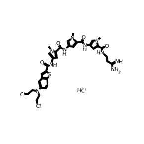 Cl.Cn1cc(NC(=O)c2cc(NC(=O)c3cc(NC(=O)c4cc5cc(N(CCCl)CCCl)ccc5s4)cn3C)cn2C)cc1C(=O)NCCC(=N)N